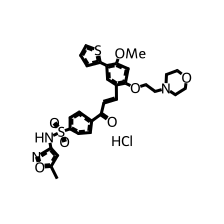 COc1cc(OCCN2CCOCC2)c(/C=C/C(=O)c2ccc(S(=O)(=O)Nc3cc(C)on3)cc2)cc1-c1cccs1.Cl